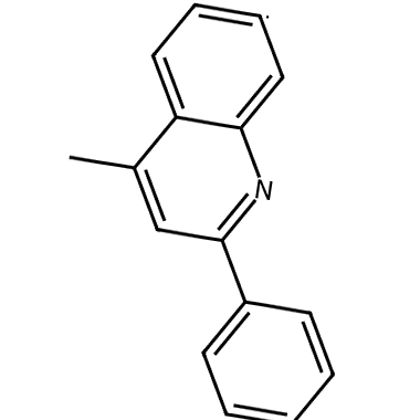 Cc1cc(-c2ccccc2)nc2c[c]ccc12